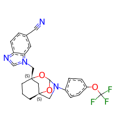 N#Cc1ccc2ncn(C[C@@]34CCC[C@@]5(CN(c6ccc(OC(F)(F)F)cc6)C(O5)O3)C4)c2c1